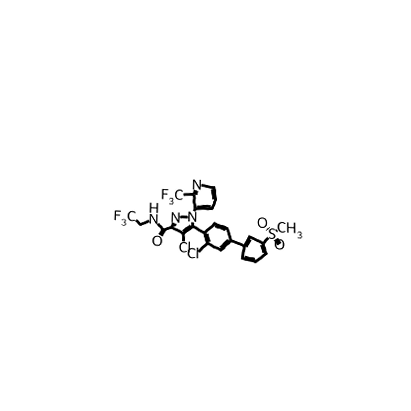 CS(=O)(=O)c1cccc(-c2ccc(-c3c(Cl)c(C(=O)NCC(F)(F)F)nn3-c3cccnc3C(F)(F)F)c(Cl)c2)c1